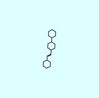 C(=CC1CCC(C2CCCCC2)CC1)C1CCCCC1